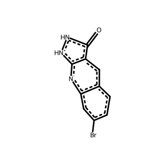 O=c1[nH][nH]c2nc3cc(Br)ccc3cc12